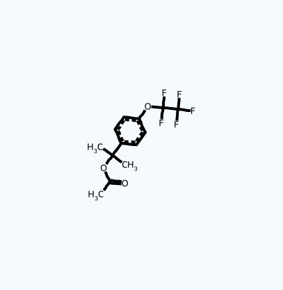 CC(=O)OC(C)(C)c1ccc(OC(F)(F)C(F)(F)F)cc1